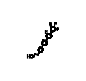 OCCCc1ccc(-c2ccc(-c3ccc(-c4cc(F)c(F)c(F)c4)c(F)c3)cc2)cc1